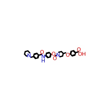 O=C(O)c1ccc(OCC2CCN(C(=O)Oc3ccc(NC(=O)c4ccc(CN5CCCCC5)cc4)cc3)CC2)cc1